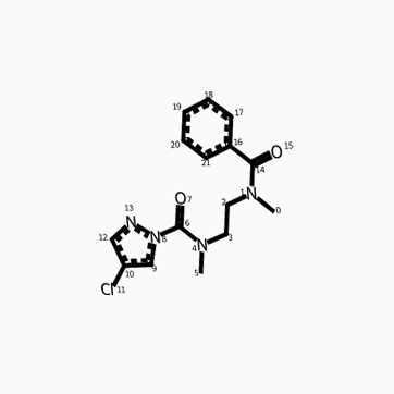 CN(CCN(C)C(=O)n1cc(Cl)cn1)C(=O)c1ccccc1